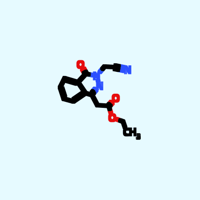 CCOC(=O)Cc1nn(CC#N)c(=O)c2ccccc12